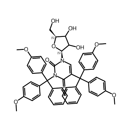 COc1ccc(C(c2ccccc2)(c2ccc(OC)cc2)c2cn([C@H]3O[C@@H](CO)C(O)C3O)c(=O)n(C(c3ccccc3)(c3ccc(OC)cc3)c3ccc(OC)cc3)c2=O)cc1